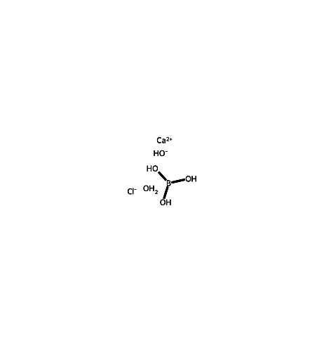 O.OB(O)O.[Ca+2].[Cl-].[OH-]